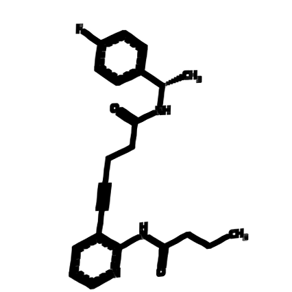 CCCC(=O)Nc1ncccc1C#CCCC(=O)N[C@@H](C)c1ccc(F)cc1